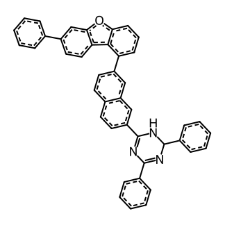 c1ccc(C2=NC(c3ccccc3)NC(c3ccc4ccc(-c5cccc6oc7cc(-c8ccccc8)ccc7c56)cc4c3)=N2)cc1